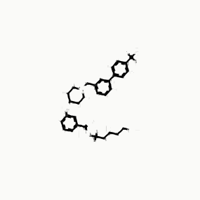 CCCCCC(C)(C)NC(=O)c1cccc(OC2CCN(Cc3cccc(-c4ccc(C(F)(F)F)cc4)c3)CC2)c1